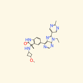 CCn1c(-c2cnc(C)nc2)nc2c(-c3ccc4c(c3)[C@](C)(NC3CC(OC)C3)C(=O)N4)ncnc21